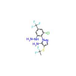 CC(F)(F)Sc1cnn(-c2c(Cl)cc(C(F)(F)F)cc2NN)c1N